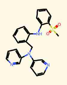 CS(=O)(=O)c1ccccc1Nc1ccccc1CN(c1cccnc1)c1cccnc1